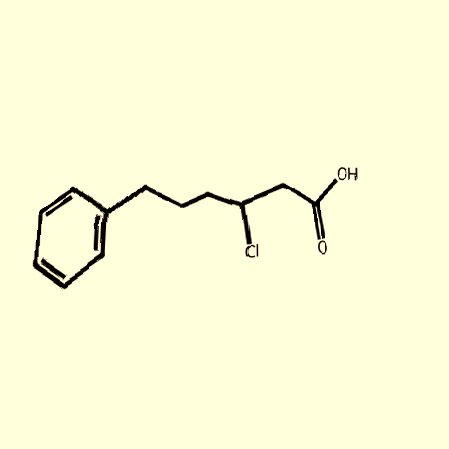 O=C(O)CC(Cl)CCCc1ccccc1